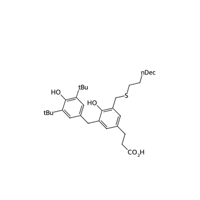 CCCCCCCCCCCCSCc1cc(CCC(=O)O)cc(Cc2cc(C(C)(C)C)c(O)c(C(C)(C)C)c2)c1O